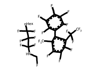 CCCCCCC(F)(F)C(F)(F)C(F)(F)NCF.Fc1c(F)c(F)c(-c2c(C(F)(F)F)c(F)c(F)c(F)c2C(F)(F)C(F)(F)F)c(F)c1F